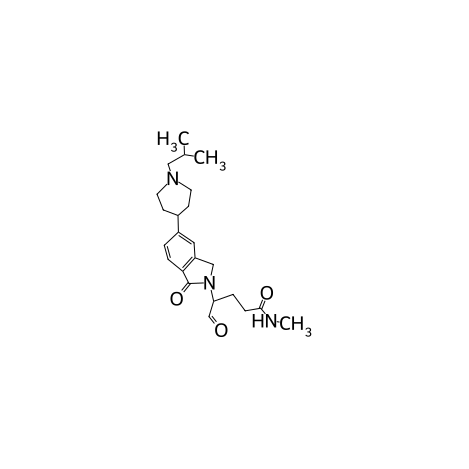 CNC(=O)CCC(C=O)N1Cc2cc(C3CCN(CC(C)C)CC3)ccc2C1=O